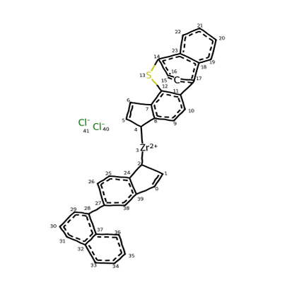 C1=C[CH]([Zr+2][CH]2C=Cc3c2ccc2c3Sc3ccc-2c2ccccc32)c2ccc(-c3cccc4ccccc34)cc21.[Cl-].[Cl-]